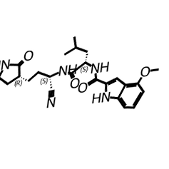 COc1cccc2[nH]c(C(=O)N[C@@H](CC(C)C)C(=O)N[C@H](C#N)CC[C@@H]3CCNC3=O)cc12